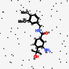 COc1ccc(CNC(=O)c2ccc(C(C)(C)O)c(N)c2)cc1OC